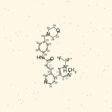 C/N=C\C(=C/NC(F)F)c1ccncc1/C=C/C(=O)Nc1ccc(CN2CCOCC2)cc1